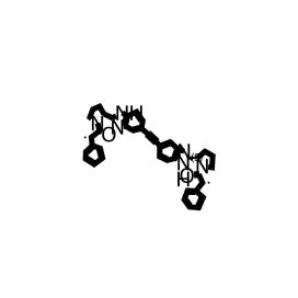 O=C([CH]c1ccccc1)N1CCCC1c1nc2cc(C#Cc3ccc4[nH]c([C@@H]5CCCN5C(=O)[CH]c5ccccc5)nc4c3)ccc2[nH]1